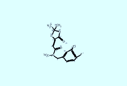 CN(Cc1ccc(F)c(Cl)c1)C(=O)C=C1OC(C)(C)OC1=O